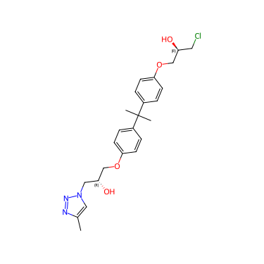 Cc1cn(C[C@@H](O)COc2ccc(C(C)(C)c3ccc(OC[C@@H](O)CCl)cc3)cc2)nn1